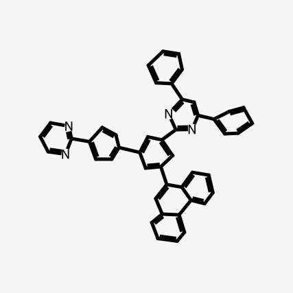 c1ccc(-c2cc(-c3ccccc3)nc(-c3cc(-c4ccc(-c5ncccn5)cc4)cc(-c4cc5ccccc5c5ccccc45)c3)n2)cc1